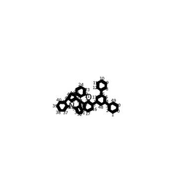 c1ccc(-c2cc(-c3ccccc3)cc(-c3cccc4c3Oc3ccccc3[C@@]43c4ccccc4-n4c5ccccc5c5cccc3c54)c2)cc1